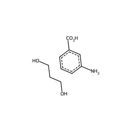 Nc1cccc(C(=O)O)c1.OCCCO